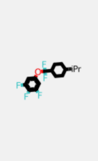 CC(C)C1CCC(C(F)(F)Oc2cc(F)c(F)c(F)c2)CC1